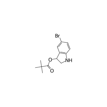 CC(C)(C)C(=O)OC1CNc2ccc(Br)cc21